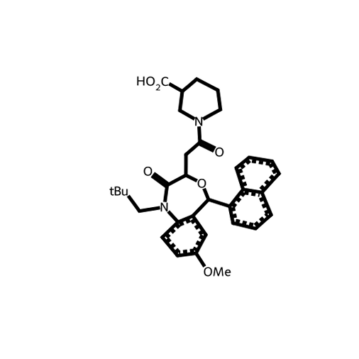 COc1ccc2c(c1)C(c1cccc3ccccc13)OC(CC(=O)N1CCCC(C(=O)O)C1)C(=O)N2CC(C)(C)C